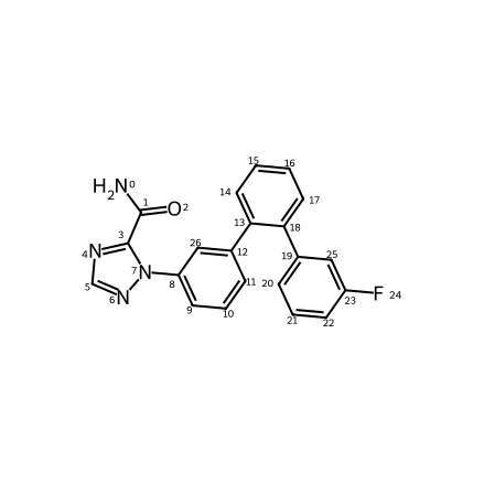 NC(=O)c1ncnn1-c1cccc(-c2ccccc2-c2cccc(F)c2)c1